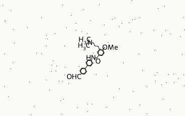 COc1ccc(C(=O)Nc2ccc(-c3ccc(C=O)cc3)cc2)cc1CCCN(C)C